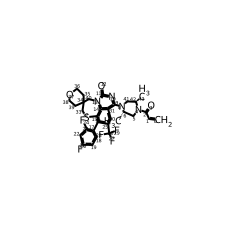 C=CC(=O)N1C[C@H](C)N(c2nc(=O)n3c4c(c(-c5ccc(F)cc5F)c(C(F)(F)F)cc24)SCC2(CCOCC2)C3)C[C@H]1C